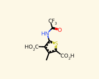 Cc1c(C(=O)O)sc(NC(=O)C(F)(F)F)c1C(=O)O